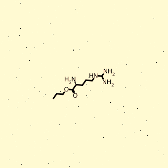 CCCOC(=O)[C@@H](N)CCCNC(N)N